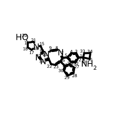 NC1(c2ccc(C3=N/C=C\n4c(nnc4CN4CC[C@H](O)C4)C/C=C\3c3ccccc3)cc2)CCC1